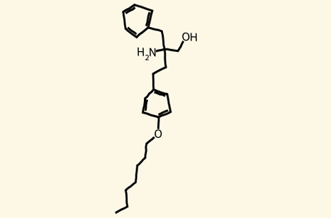 CCCCCCCOc1ccc(CCC(N)(CO)Cc2ccccc2)cc1